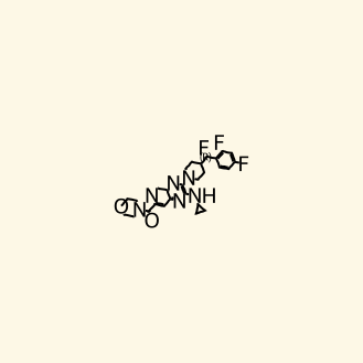 O=C(c1cc2nc(NC3CC3)c(N3CCC([C@@H](F)c4ccc(F)cc4F)CC3)nc2cn1)N1CCOCC1